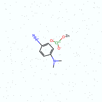 CN(C)c1ccc([N+]#N)cc1.[O-][Cl+2]([O-])[O-].[Zn]